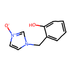 [O-][n+]1ccn(Cc2ccccc2O)c1